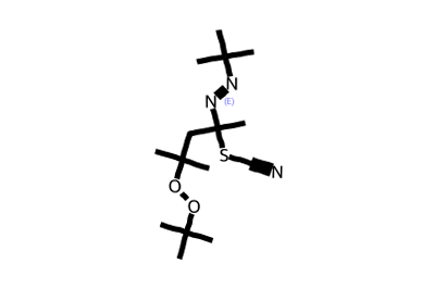 CC(C)(C)/N=N/C(C)(CC(C)(C)OOC(C)(C)C)SC#N